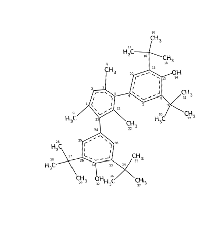 Cc1cc(C)c(-c2cc(C(C)(C)C)c(O)c(C(C)(C)C)c2)c(C)c1-c1cc(C(C)(C)C)c(O)c(C(C)(C)C)c1